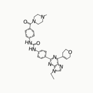 CCn1cnc2c(C3=CCOCC3)nc(-c3ccc(NC(=O)Nc4ccc(C(=O)N5CCN(C)CC5)cc4)cc3)nc21